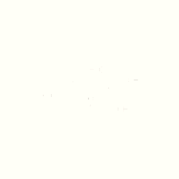 C[Si](C)(C)OC[C]=O